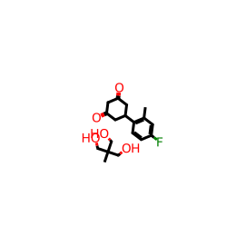 CC(CO)(CO)CO.Cc1cc(F)ccc1C1CC(=O)CC(=O)C1